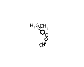 CN(C)Cc1ccc(OC2CC(CN3CCCC3)C2)cc1